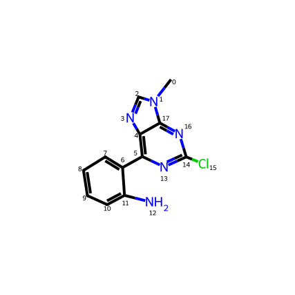 Cn1cnc2c(-c3ccccc3N)nc(Cl)nc21